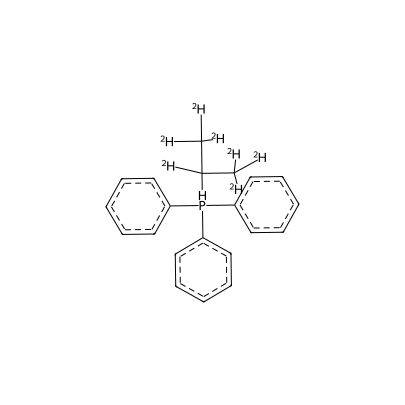 [2H]C([2H])([2H])C([2H])(C([2H])([2H])[2H])[PH](c1ccccc1)(c1ccccc1)c1ccccc1